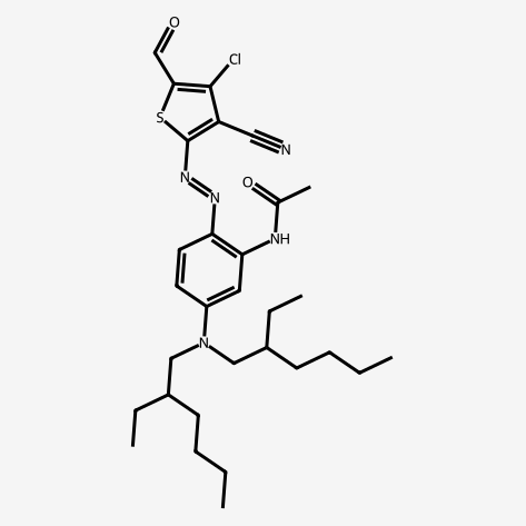 CCCCC(CC)CN(CC(CC)CCCC)c1ccc(/N=N/c2sc(C=O)c(Cl)c2C#N)c(NC(C)=O)c1